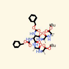 C[C@H](NC(=O)[C@@H](NC(=O)OCc1ccccc1)[C@H](NC(=O)OCc1ccccc1)C(=O)N[C@@H](C)C(=O)N[C@@H](C)C(=O)OC(C)(C)C)C(=O)N[C@@H](C)C(=O)OC(C)(C)C